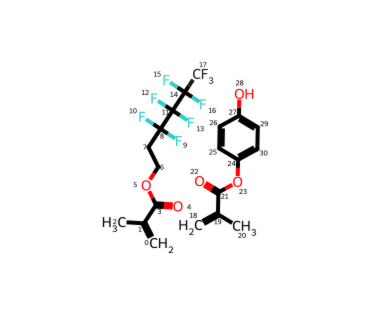 C=C(C)C(=O)OCCC(F)(F)C(F)(F)C(F)(F)C(F)(F)F.C=C(C)C(=O)Oc1ccc(O)cc1